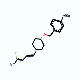 CCCCc1ccc(CO[C@H]2CC[C@H](/C=C/C=C(\F)C#N)CC2)cc1